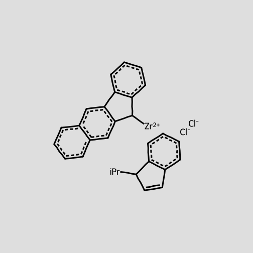 CC(C)C1C=Cc2ccccc21.[Cl-].[Cl-].[Zr+2][CH]1c2ccccc2-c2cc3ccccc3cc21